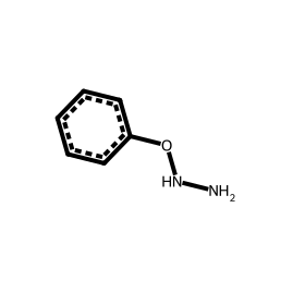 NNOc1ccccc1